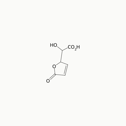 O=C1C=CC(C(O)C(=O)O)O1